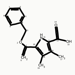 C=C(OCc1ccccc1)c1[nH]c(C(=O)O)c(C)c1C